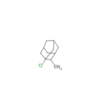 CC1C2CC3CC(C2)CC1(Cl)C3